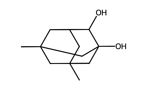 CC12CC3CC(C)(C1)CC(O)(C2)C3O